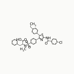 CCc1ccc(-c2sc(NC(=O)c3ccc(Cl)cc3)nc2-c2ccc(S(=O)(=O)N(C)C(Cc3ccccc3)C(=O)O)cc2)cc1